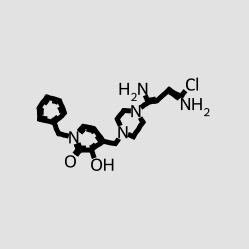 N/C(Cl)=C\C=C(/N)N1CCN(Cc2ccn(Cc3ccccc3)c(=O)c2O)CC1